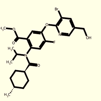 COC(=O)c1cc(Oc2ncc(CO)cc2Br)c(F)cc1N(C(=O)[C@H]1CC[C@H](C)CC1)C(C)C